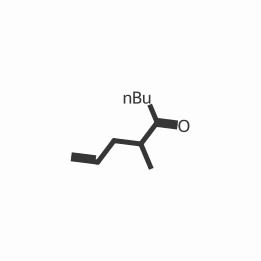 C=CCC(C)C(=O)CCCC